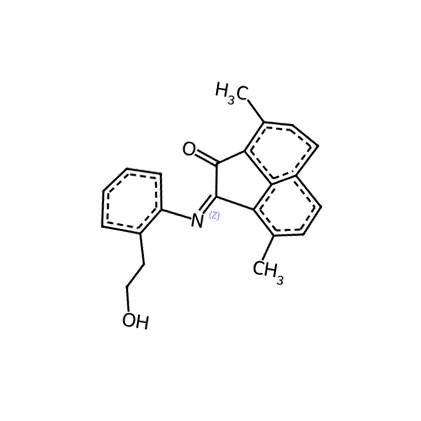 Cc1ccc2ccc(C)c3c2c1C(=O)/C3=N\c1ccccc1CCO